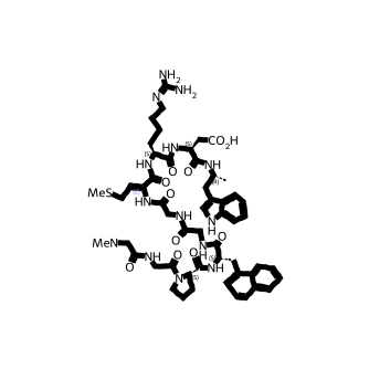 CNCC(=O)NCC(=O)N1CCC[C@H]1C(=O)N[C@@H](Cc1cccc2ccccc12)C(=O)NCC(=O)NCC(=O)N/C(=C\CSC)C(=O)N[C@@H](CCCCN=C(N)N)C(=O)N[C@@H](CC(=O)O)C(=O)N[C@H](C)Cc1c[nH]c2ccccc12